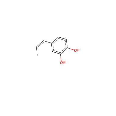 C/C=C\c1ccc(O)c(O)c1